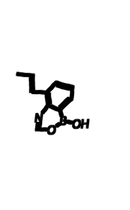 C/C=C/c1cccc2c1N=COB2O